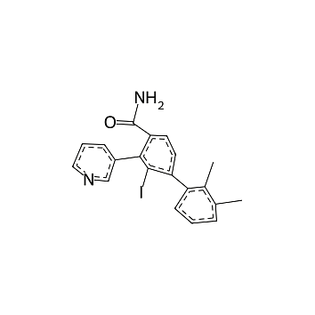 Cc1cccc(-c2ccc(C(N)=O)c(-c3cccnc3)c2I)c1C